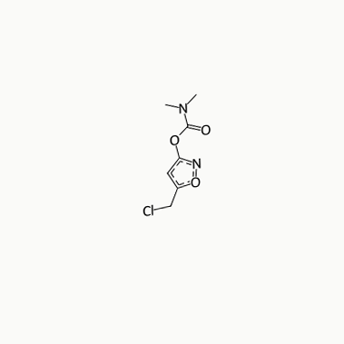 CN(C)C(=O)Oc1cc(CCl)on1